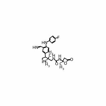 CC(C)CC(c1ccc(Nc2ccc(F)cc2)c(C=N)c1)C(C)(C)CNC(=O)NC1(C)CC(=O)O1